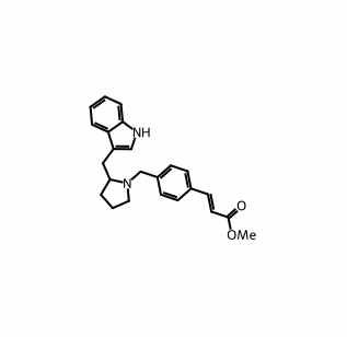 COC(=O)C=Cc1ccc(CN2CCCC2Cc2c[nH]c3ccccc23)cc1